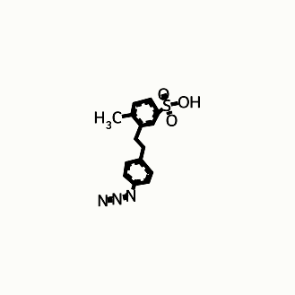 Cc1ccc(S(=O)(=O)O)cc1CCc1ccc(N=[N+]=[N-])cc1